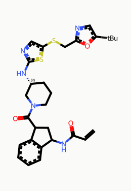 C=CC(=O)NC1CC(C(=O)N2CCC[C@@H](Nc3ncc(SCc4ncc(C(C)(C)C)o4)s3)C2)c2ccccc21